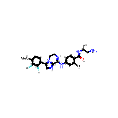 CCc1cc(NC2=NCCn3c(-c4ccc(OC)c(F)c4F)cnc32)ccc1C(=O)N[C@@H](C)CN